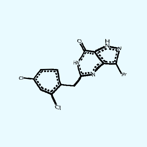 CC(C)c1n[nH]c2c(=O)[nH]c(Cc3ccc(Cl)cc3Cl)nc12